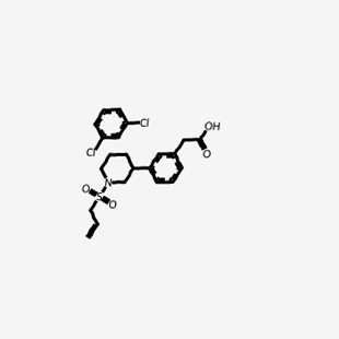 C=CCS(=O)(=O)N1CCCC(c2cccc(CC(=O)O)c2)C1.Clc1cccc(Cl)c1